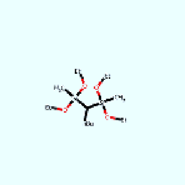 CCCCC([Si](C)(OCC)OCC)[Si](C)(OCC)OCC